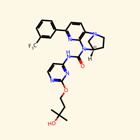 CC(C)(O)CCOc1nccc(NC(=O)N2c3nc(-c4cccc(C(F)(F)F)c4)ccc3N3CC[C@H]2C3)n1